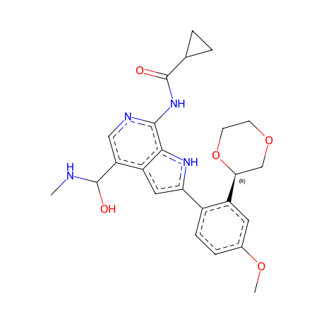 CNC(O)c1cnc(NC(=O)C2CC2)c2[nH]c(-c3ccc(OC)cc3[C@@H]3COCCO3)cc12